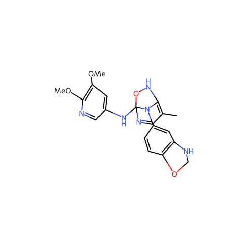 COc1cc(NC23N=CC(C)=C(NO2)N3c2ccc3c(c2)NCO3)cnc1OC